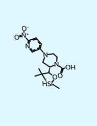 C[SiH](C)OC([C@H]1CN(c2ccc([N+](=O)[O-])nc2)CCN1C(=O)O)C(C)(C)C